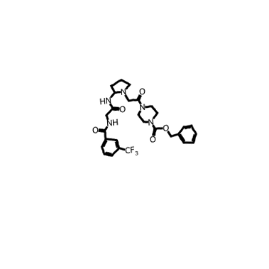 O=C(CNC(=O)c1cccc(C(F)(F)F)c1)NC1CCCN1CC(=O)N1CCN(C(=O)OCc2ccccc2)CC1